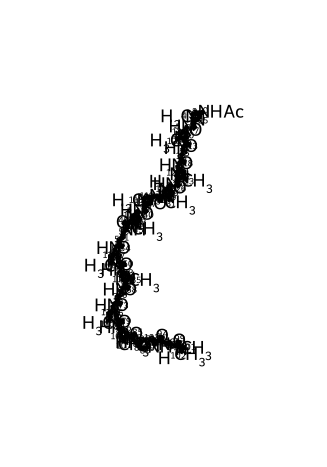 CC(=O)Nc1cn(C)c(C(=O)Nc2cc(C(=O)NCCC(=O)Nc3cn(C)c(C(=O)Nc4cn(C)c(C(=O)Nc5cc(C(=O)Nc6cn(C)c(C(=O)NCCCC(=O)Nc7cc(C(=O)Nc8cn(C)c(C(=O)NCCC(=O)Nc9cc(C(=O)Nc%10cc(C(=O)Nc%11ccc%12[nH]c(C(=O)NCCC(=O)N(C)C)cc%12c%11)n(C)c%10)n(C)c9)n8)n(C)c7)n6)n(C)c5)n4)n3)n(C)c2)n1